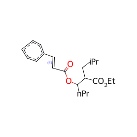 CCCC(OC(=O)/C=C/c1ccccc1)C(CC(C)C)C(=O)OCC